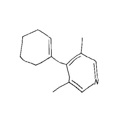 Cc1cncc(C)c1C1=CCCCC1